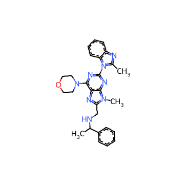 Cc1nc2ccccc2n1-c1nc(N2CCOCC2)c2nc(CNC(C)c3ccccc3)n(C)c2n1